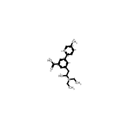 CCN(CC)C(O)Cc1cc(C(=O)O)cc(-c2ccc(C)cn2)c1